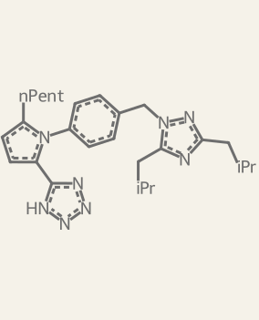 CCCCCc1ccc(-c2nnn[nH]2)n1-c1ccc(Cn2nc(CC(C)C)nc2CC(C)C)cc1